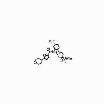 COC1(C)CCN(c2ccc(C(F)(F)F)cc2NC(=O)c2ccc(C3CCOCC3)o2)CC1